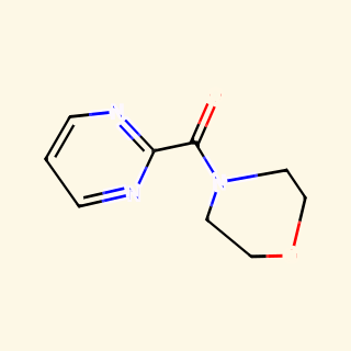 O=C(c1ncccn1)N1CCOCC1